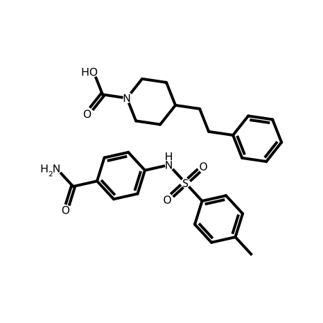 Cc1ccc(S(=O)(=O)Nc2ccc(C(N)=O)cc2)cc1.O=C(O)N1CCC(CCc2ccccc2)CC1